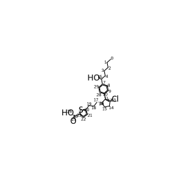 CCCCCC(O)c1ccc(C2=C(Cl)CC[C@@H]2CCCc2ccc(C(=O)O)s2)cc1